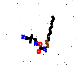 CCCCCCCCSSN(C)C(=O)ON=CC(C)(C)C#N